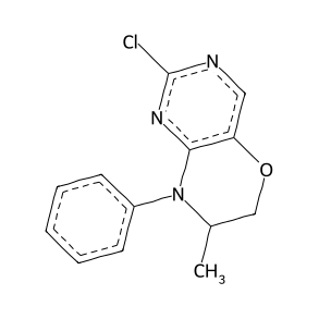 CC1COc2cnc(Cl)nc2N1c1ccccc1